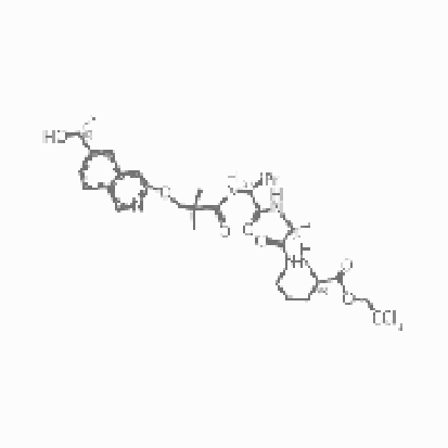 CC(C)[C@H](NC(=O)C(C)(C)COc1cc2cc([C@@H](C)O)ccc2cn1)C(=O)N[C@@H](C)C(=O)N1CCC[C@H](C(=O)OCC(Cl)(Cl)Cl)N1